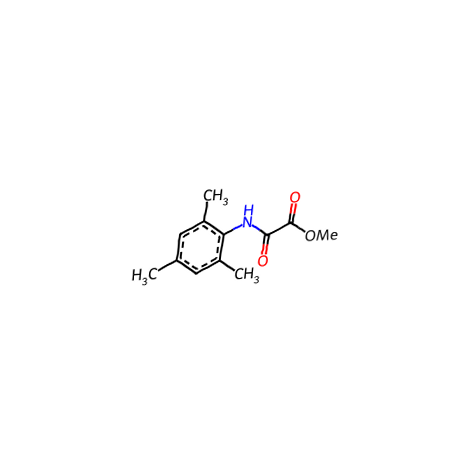 COC(=O)C(=O)Nc1c(C)cc(C)cc1C